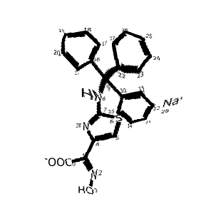 O=C([O-])/C(=N\O)c1csc(NC(c2ccccc2)(c2ccccc2)c2ccccc2)n1.[Na+]